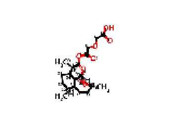 C[C@H]1C(OC(=O)COCC(=O)O)O[C@@H]2O[C@]3(C)CC[C@H]4[C@H](C)CCC1[C@@]24OO3